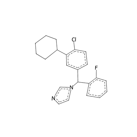 Fc1ccccc1C(c1ccc(Cl)c(C2CCCCC2)c1)n1ccnc1